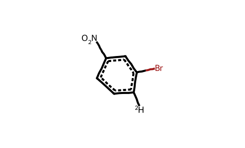 [2H]c1ccc([N+](=O)[O-])cc1Br